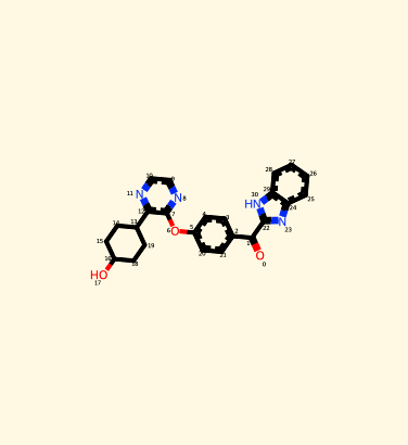 O=C(c1ccc(Oc2nccnc2C2CCC(O)CC2)cc1)c1nc2ccccc2[nH]1